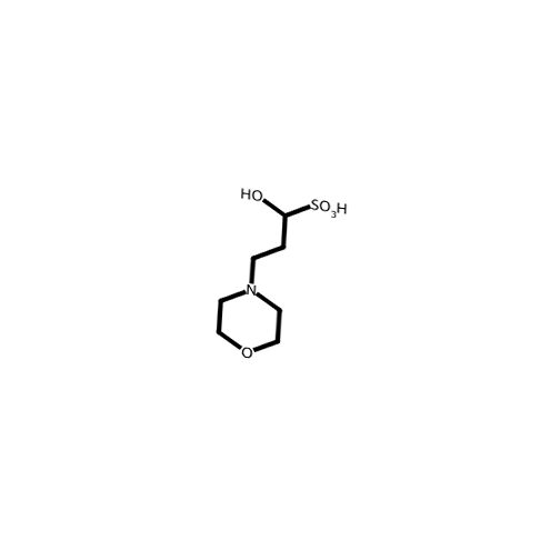 O=S(=O)(O)C(O)CCN1CCOCC1